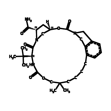 CC1(C)CCCCc2cccc3c2CN(C3)C(=O)O[C@@H]2C[C@@H](C(N)=O)N(C2)C(=O)[C@H](C(C)(C)C)NC(=O)OC1